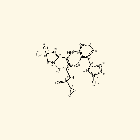 COc1c(NC2=CC(NC(=O)C3CC3)=NN3CC(C)(C)N=C23)cccc1-c1ncn(C)n1